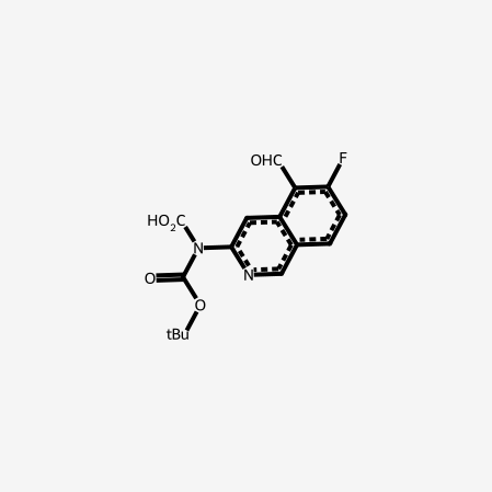 CC(C)(C)OC(=O)N(C(=O)O)c1cc2c(C=O)c(F)ccc2cn1